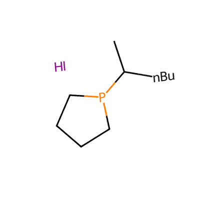 CCCCC(C)P1CCCC1.I